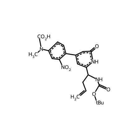 C=CCC(NC(=O)OC(C)(C)C)c1cc(-c2ccc(N(C)C(=O)O)cc2[N+](=O)[O-])cc(=O)[nH]1